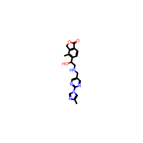 Cc1cn(-c2ncc(CNCC(O)c3ccc4c(c3C)COC4=O)cn2)cn1